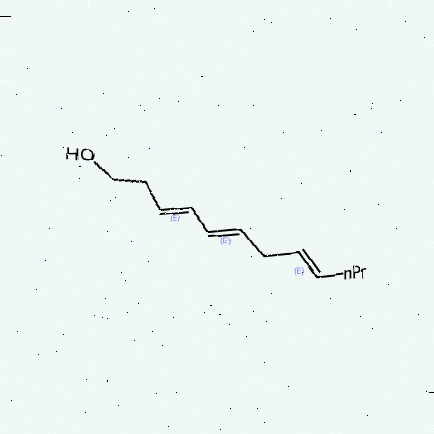 CCC/C=C/C/C=C/C=C/CCO